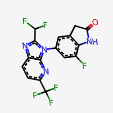 O=C1Cc2cc(-n3c(C(F)F)nc4ccc(C(F)(F)F)nc43)cc(F)c2N1